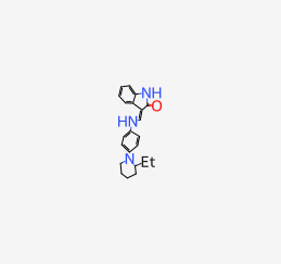 CCC1CCCCN1c1ccc(N/C=C2/C(=O)Nc3ccccc32)cc1